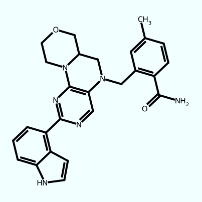 Cc1ccc(C(N)=O)c(CN2CC3COCCN3c3nc(-c4cccc5[nH]ccc45)ncc32)c1